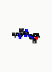 CCC(=O)N1CCN(c2cnc(C#N)c(-c3cnn(C)c3)n2)C[C@H]1C